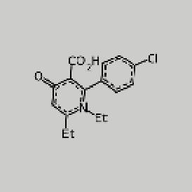 CCc1cc(=O)c(C(=O)O)c(-c2ccc(Cl)cc2)n1CC